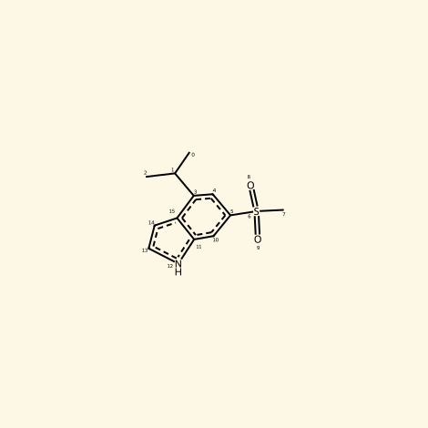 CC(C)c1cc(S(C)(=O)=O)cc2[nH]ccc12